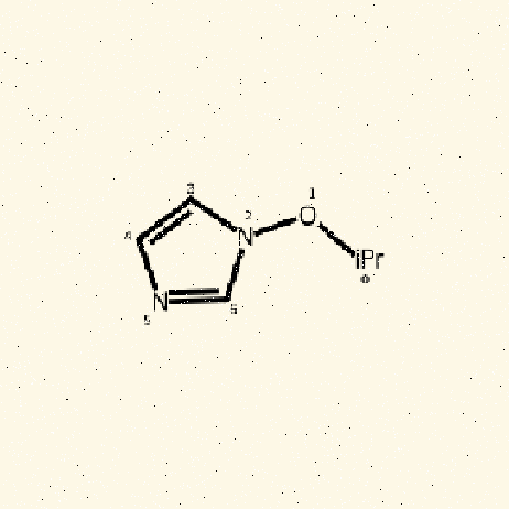 CC(C)On1ccnc1